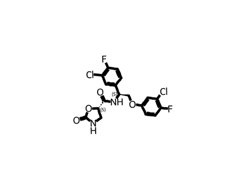 O=C1NC[C@@H](C(=O)N[C@H](COc2ccc(F)c(Cl)c2)c2ccc(F)c(Cl)c2)O1